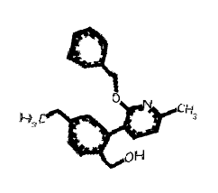 CCc1ccc(CO)c(-c2ccc(C)nc2OCc2ccccc2)c1